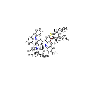 CCCCc1ccc(N2B3c4cc(CCCC)cc5c4N(c4cc(N(c6ccccc6)c6ccccc6)cc(c43)-c3cc4sc6cc7c(cc6c4cc32)C(C)(C)CCC7(C)C)C2(C)CCCCC52C)c(-c2ccccc2)c1